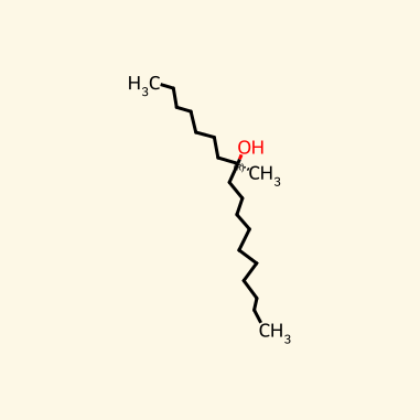 CCCCCCCCCC[C@](C)(O)CCCCCCC